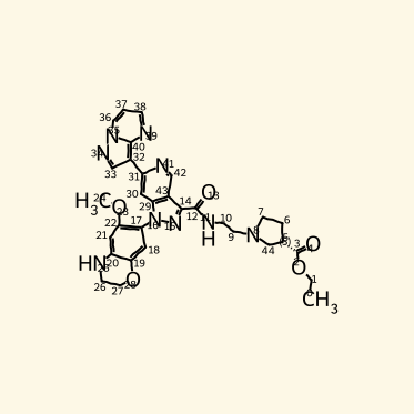 CCOC(=O)[C@H]1CCN(CCNC(=O)c2nn(-c3cc4c(cc3OC)NCCO4)c3cc(-c4cnn5cccnc45)ncc23)C1